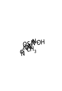 Cc1nc(-c2ccn(CCO)n2)sc1C(=O)NCc1cccnc1